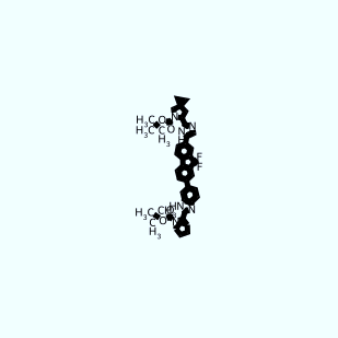 CC(C)(C)OC(=O)N1CC2(CC2)CC1c1ncc(-c2ccc3c(c2)C(F)(F)c2cc(-c4ccc5nc(C6C7CCC(C7)N6C(=O)OC(C)(C)C)[nH]c5c4)ccc2-3)[nH]1